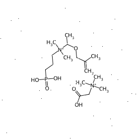 C=C(C)COC(C)[N+](C)(C)CCCP(=O)(O)O.C[N+](C)(C)CC(=O)O